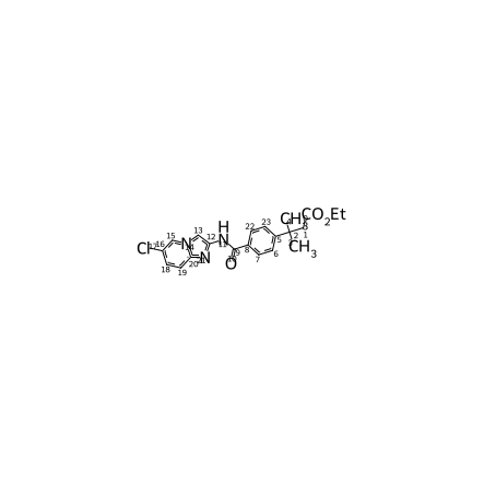 CCOC(=O)CC(C)(C)c1ccc(C(=O)Nc2cn3cc(Cl)ccc3n2)cc1